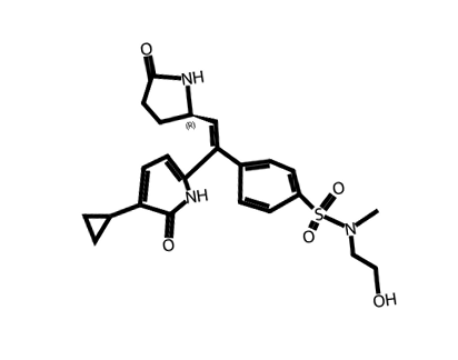 CN(CCO)S(=O)(=O)c1ccc(C(=C[C@H]2CCC(=O)N2)c2ccc(C3CC3)c(=O)[nH]2)cc1